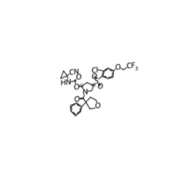 N#CC1(NC(=O)O[C@H]2C[C@@H](S(=O)(=O)c3ccc(OCC(F)(F)F)cc3Cl)CN2C(=O)C2(c3ccccc3)CCOCC2)CC1